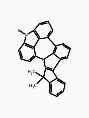 CC1(C)c2ccccc2-c2c1n1c3cccc4c3c3c(cccc3n4I)c3cccc2c31